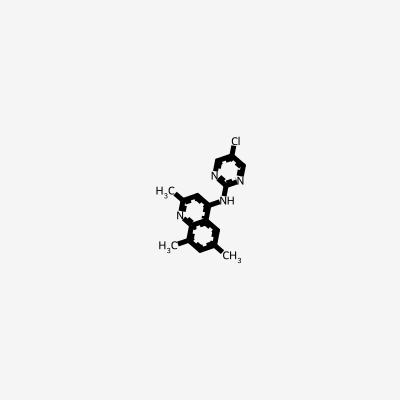 Cc1cc(C)c2nc(C)cc(Nc3ncc(Cl)cn3)c2c1